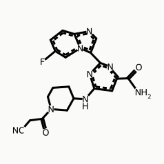 N#CCC(=O)N1CCCC(Nc2cc(C(N)=O)nc(-c3cnc4ccc(F)cn34)n2)C1